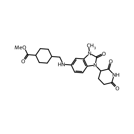 COC(=O)C1CCC(CNc2ccc3c(c2)n(C)c(=O)n3C2CCC(=O)NC2=O)CC1